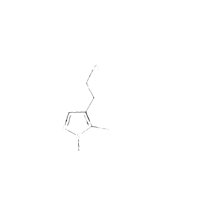 Cc1c(CCC(C)C)cnn1C